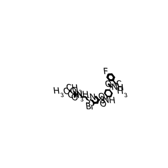 C[C@@H](NC(=O)[C@H]1CC[C@H](NS(=O)(=O)c2cnc(SCCNC(=O)OC(C)(C)C)c(Br)c2)CC1)c1ccc(F)cc1